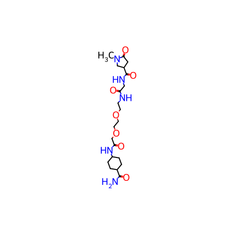 CN1CC(C(=O)NCC(=O)NCCOCCOCC(=O)NC2CCC(C(N)=O)CC2)CC1=O